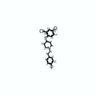 Fc1ccc(CCN2CCC(Sc3ccc(Cl)cc3Cl)CC2)cc1